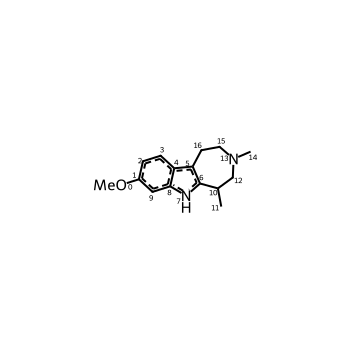 COc1ccc2c3c([nH]c2c1)C(C)CN(C)CC3